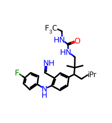 CC(C)CC(c1ccc(Nc2ccc(F)cc2)c(C=N)c1)C(C)(C)CNC(=O)NCC(F)(F)F